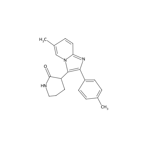 Cc1ccc(-c2nc3ccc(C)cn3c2C2CCCNC2=O)cc1